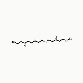 CCOCCNCCOCCOCCNCCO